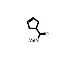 [CH2]NC(=O)C1CC=CC1